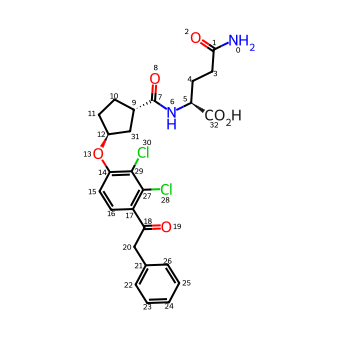 NC(=O)CC[C@H](NC(=O)[C@H]1CC[C@H](Oc2ccc(C(=O)Cc3ccccc3)c(Cl)c2Cl)C1)C(=O)O